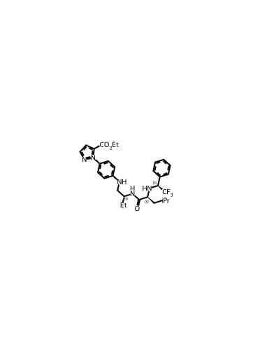 CCOC(=O)c1ccnn1-c1ccc(NC[C@H](CC)NC(=O)[C@H](CC(C)C)N[C@@H](c2ccccc2)C(F)(F)F)cc1